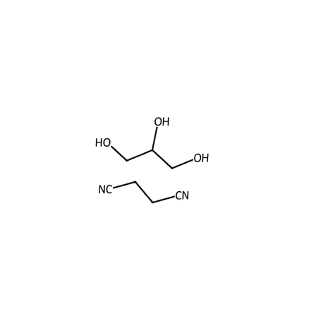 N#CCCC#N.OCC(O)CO